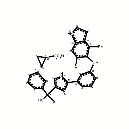 CCOC(=O)[C@@H]1C[C@H]1c1cccc(C(C)(O)c2c[nH]c(-c3cccc(Oc4c(F)cc5[nH]ccc5c4F)c3)n2)c1